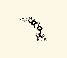 NC(Cc1ccc(Oc2ccc(CC3OCNC3C(=O)C=O)cc2)c(F)c1)C(=O)O